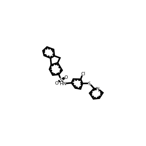 O=S(=O)(Nc1ccc(Sc2ccccn2)c(Cl)c1)c1ccc2c(c1)Cc1ccccc1-2